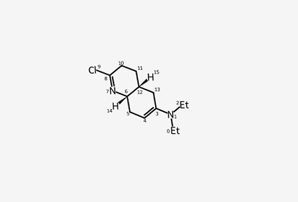 CCN(CC)C1=CC[C@@H]2N=C(Cl)CC[C@@H]2C1